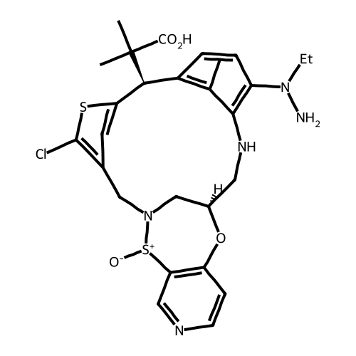 CCN(N)c1ccc2c(C)c1NC[C@@H]1CN(Cc3cc(sc3Cl)[C@H]2C(C)(C)C(=O)O)[S+]([O-])c2cnccc2O1